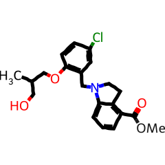 COC(=O)c1cccc2c1CCN2Cc1cc(Cl)ccc1OCC(C)CO